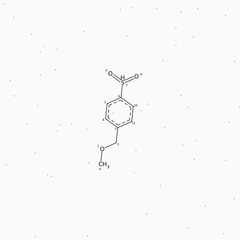 COCc1ccc([SH](=O)=O)cc1